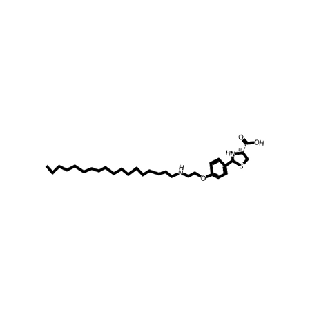 CCCCCCCCCCCCCCCCCCNCCOc1ccc(C2N[C@H](C(=O)O)CS2)cc1